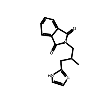 CC(Cc1ncc[nH]1)CN1C(=O)c2ccccc2C1=O